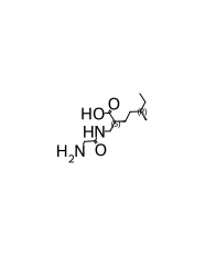 CC[C@@H](C)CC[C@@H](CNC(=O)CN)C(=O)O